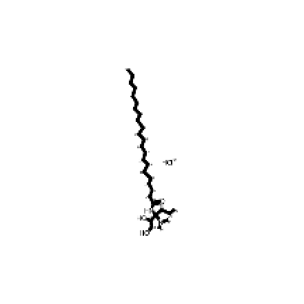 CCCCCCCCCCCCCCCCCCCCCC(=O)NC(CCC)(C(O)CO)N(C)C.Cl